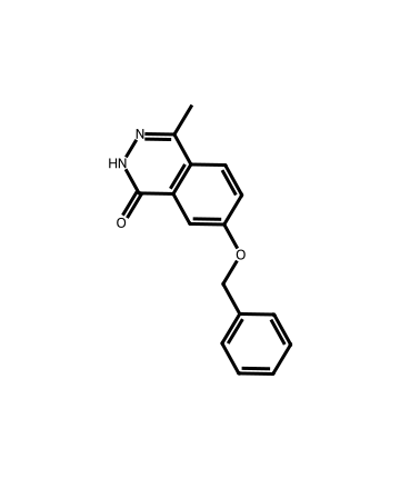 Cc1n[nH]c(=O)c2cc(OCc3ccccc3)ccc12